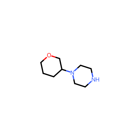 C1COCC(N2CCNCC2)C1